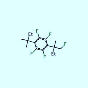 CCC(C)(C)c1c(F)c(F)c(C(C)(CC)CF)c(F)c1F